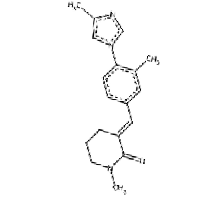 Cc1cn(-c2ccc(/C=C3\CCCN(C)C3=O)cc2C)cn1